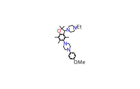 CCN1CCN(C2c3c(C)c(N4CCN(c5ccc(OC)cc5)CC4)c(C)c(C)c3OC2(C)C)CC1